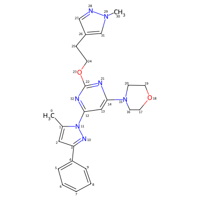 Cc1cc(-c2ccccc2)nn1-c1cc(N2CCOCC2)nc(OCCc2cnn(C)c2)n1